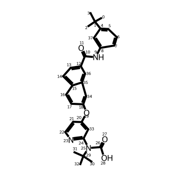 CC(C)(C)c1cccc(NC(=O)c2ccc3ccc(Oc4ccnc(N(C(=O)O)C(C)(C)C)c4)cc3c2)c1